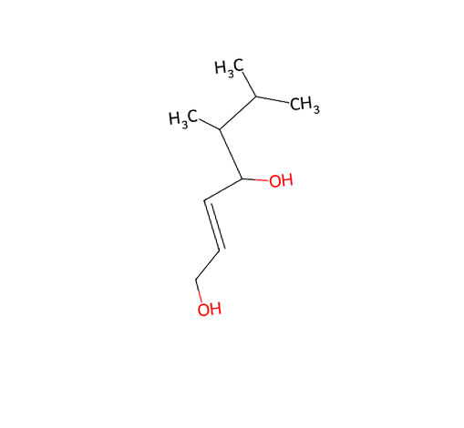 CC(C)C(C)C(O)C=CCO